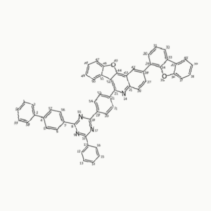 c1ccc(-c2ccc(-c3nc(-c4ccccc4)nc(-c4ccc(-c5nc6ccc(-c7cccc8c7oc7ccccc78)cc6c6oc7ccccc7c56)cc4)n3)cc2)cc1